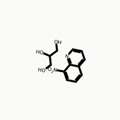 O=[N+]([O-])c1cccc2cccnc12.OCC(O)CO